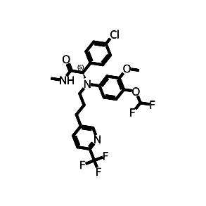 CNC(=O)[C@H](c1ccc(Cl)cc1)N(CCCc1ccc(C(F)(F)F)nc1)c1ccc(OC(F)F)c(OC)c1